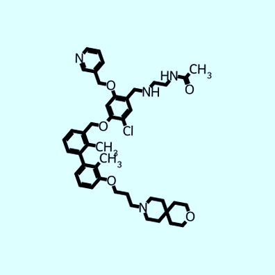 CC(=O)NCCNCc1cc(Cl)c(OCc2cccc(-c3cccc(OCCCN4CCC5(CCOCC5)CC4)c3C)c2C)cc1OCc1cccnc1